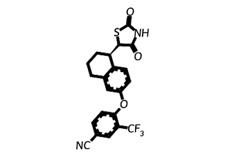 N#Cc1ccc(Oc2ccc3c(c2)CCC[C@H]3C2SC(=O)NC2=O)c(C(F)(F)F)c1